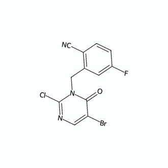 N#Cc1ccc(F)cc1Cn1c(Cl)ncc(Br)c1=O